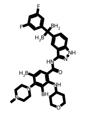 Bc1cc(C(=O)Nc2n[nH]c3ccc(C(B)(B)c4cc(F)cc(F)c4)cc23)c(NC2CCOCC2)c(B)c1N1CCN(C)CC1